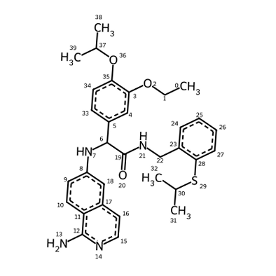 CCOc1cc(C(Nc2ccc3c(N)nccc3c2)C(=O)NCc2ccccc2SC(C)C)ccc1OC(C)C